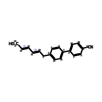 N#Cc1ccc(-c2ccc(C/C=C/C=C/C(=O)O)cc2)cc1